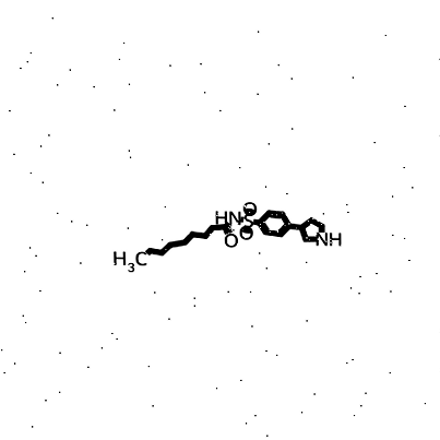 CCCCCCCCC(=O)NS(=O)(=O)c1ccc(C2CCNC2)cc1